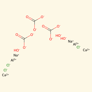 O=C([O-])[O-].O=C([O-])[O-].O=C([O-])[O-].[Al+3].[Al+3].[Ca+2].[Ca+2].[Cl-].[Cl-].[Cl-].[Na+].[Na+].[OH-].[OH-].[OH-]